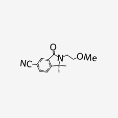 COCCN1C(=O)c2cc(C#N)ccc2C1(C)C